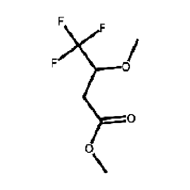 COC(=O)CC(OC)C(F)(F)F